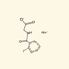 O=C([O-])CNC(=O)c1ccccc1I.[Na+]